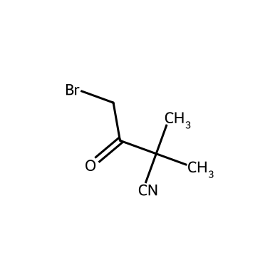 CC(C)(C#N)C(=O)CBr